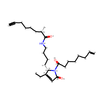 C#CCCCC[C@H](C)C(=O)NCCCC[C@H]1C(CC)=CC(=O)N1C(=O)CCCCCC=C